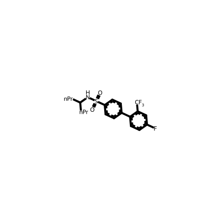 CCCC(CCC)NS(=O)(=O)c1ccc(-c2ccc(F)cc2C(F)(F)F)cc1